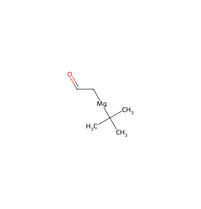 C[C](C)(C)[Mg][CH2]C=O